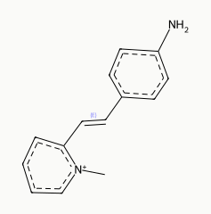 C[n+]1ccccc1/C=C/c1ccc(N)cc1